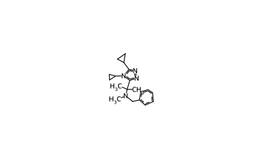 CN(Cc1ccccc1)C(C)(C)c1nnc(C2CC2)n1C1CC1